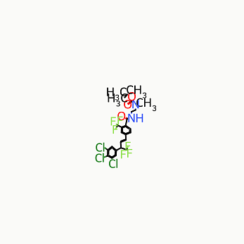 CN(CCNC(=O)c1ccc(C=CC(c2cc(Cl)c(Cl)c(Cl)c2)C(F)(F)F)cc1C(F)(F)F)C(=O)OC(C)(C)C